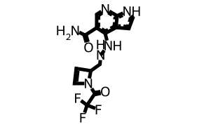 NC(=O)c1cnc2[nH]ccc2c1NNCC1C=CN1C(=O)C(F)(F)F